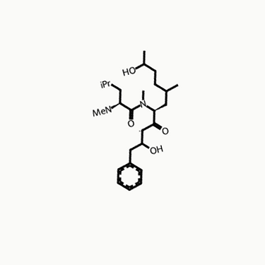 CN[C@@H](CC(C)C)C(=O)N(C)[C@@H](CC(C)CCC(C)O)C(=O)[CH]C(O)Cc1ccccc1